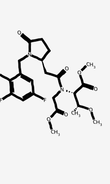 COC(=O)CN(C(=O)C[C@@H]1CCC(=O)N1Cc1cc(F)cc(F)c1F)[C@H](C(=O)OC)[C@@H](C)OC